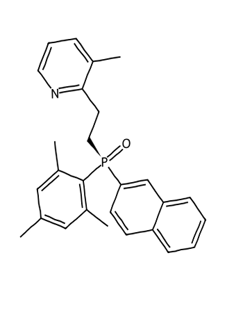 Cc1cc(C)c([P@@](=O)(CCc2ncccc2C)c2ccc3ccccc3c2)c(C)c1